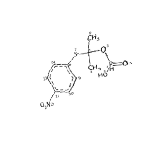 CC(C)(O[PH](=O)O)Sc1ccc([N+](=O)[O-])cc1